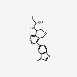 CCC(O)NC1COCc2c(-c3ccc4ncn(C)c4c3)cncc21